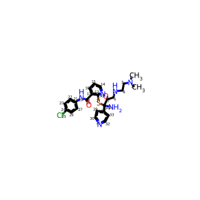 CN(C)CCNCC(=O)C(N)(Sc1ncccc1C(=O)Nc1ccc(Cl)cc1)c1ccncc1